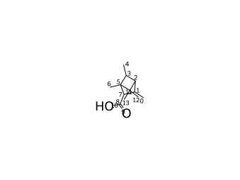 CC1C2C(C)C(C)(C1C(=O)O)C2(C)C